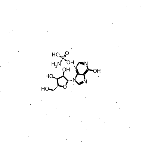 NP(=O)(O)O.OC[C@H]1O[C@@H](n2cnc3c(O)ncnc32)[C@H](O)[C@@H]1O